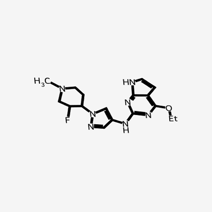 CCOc1nc(Nc2cnn(C3CCN(C)CC3F)c2)nc2[nH]ccc12